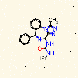 Cc1nnc2n1-c1ccccc1C(c1ccccc1)=NC2NC(=O)NC(C)C